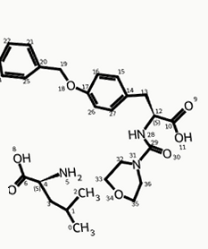 CC(C)C[C@H](N)C(=O)O.O=C(O)[C@H](Cc1ccc(OCc2ccccc2)cc1)NC(=O)N1CCOCC1